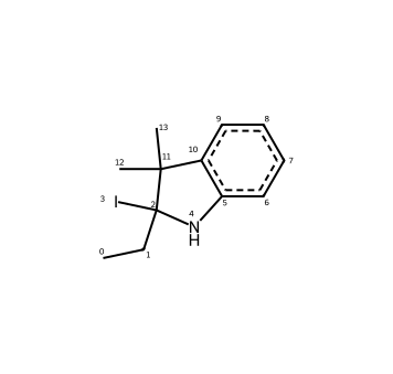 CCC1(I)Nc2ccccc2C1(C)C